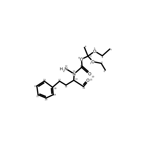 CCOC(C)(OCC)OC(=O)N(N)C(C=O)CCc1ccccc1